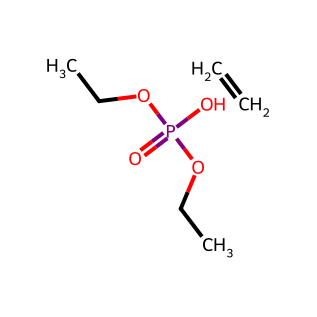 C=C.CCOP(=O)(O)OCC